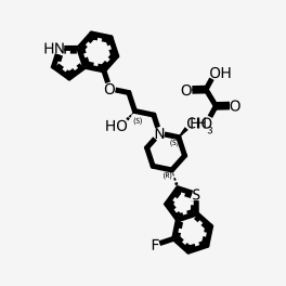 C[C@H]1C[C@H](c2cc3c(F)cccc3s2)CCN1C[C@H](O)COc1cccc2[nH]ccc12.O=C(O)C(=O)O